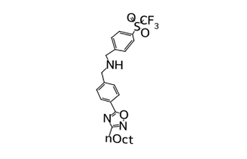 CCCCCCCCc1noc(-c2ccc(CNCc3ccc(S(=O)(=O)C(F)(F)F)cc3)cc2)n1